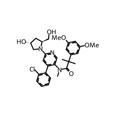 COc1cc(OC)cc(C(C)(C)C(=O)N(C)c2cnc(N3C[C@H](O)C[C@H]3CO)cc2-c2ccccc2Cl)c1